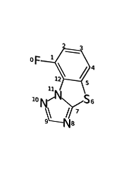 Fc1cccc2sc3ncnn3c12